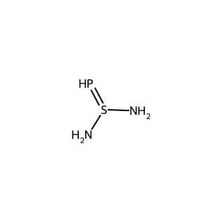 NS(N)=P